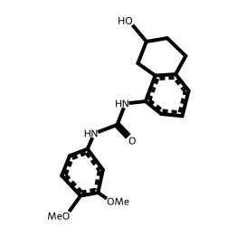 COc1ccc(NC(=O)Nc2cccc3c2CC(O)CC3)cc1OC